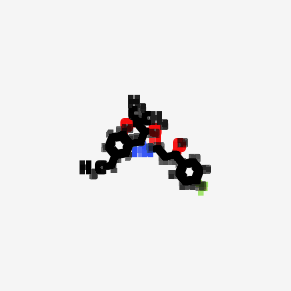 CCc1ccc2c(c1)C(NCCC(=O)c1ccc(F)cc1)C(O)C(C)(C)O2